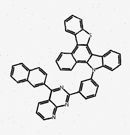 c1cc(-c2nc(-c3ccc4ccccc4c3)c3cccnc3n2)cc(-n2c3ccccc3c3c4sc5ccccc5c4c4ccccc4c32)c1